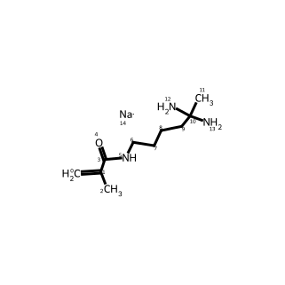 C=C(C)C(=O)NCCCCC(C)(N)N.[Na]